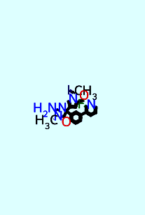 CC(I)n1cc(C2(c3cccc(-c4cccnc4F)c3)N=C(N)N(C)C2=O)cc1C=O